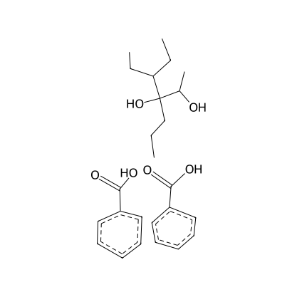 CCCC(O)(C(C)O)C(CC)CC.O=C(O)c1ccccc1.O=C(O)c1ccccc1